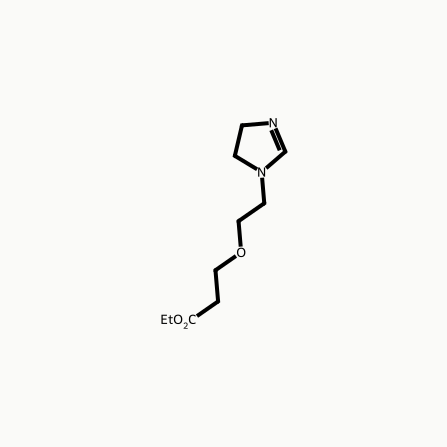 CCOC(=O)CCOCCN1C=NCC1